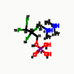 CC(C)NC(C)C.CC(C)NC(C)C.O=P(O)(O)OCC(F)(F)C(F)F